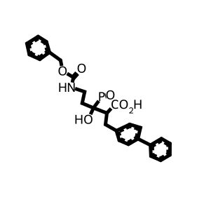 O=PC(O)(CCNC(=O)OCc1ccccc1)C(Cc1ccc(-c2ccccc2)cc1)C(=O)O